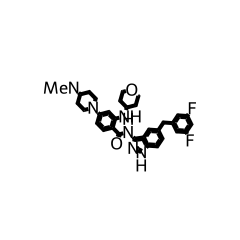 CNC1CCN(c2ccc(C(=O)Nc3n[nH]c4ccc(Cc5cc(F)cc(F)c5)cc34)c(NC3CCOCC3)c2)CC1